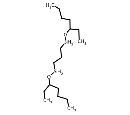 CCCCC(CC)O[SiH2]CCC[SiH2]OC(CC)CCCC